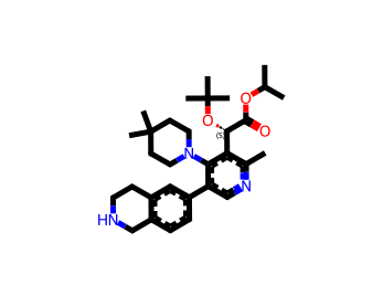 Cc1ncc(-c2ccc3c(c2)CCNC3)c(N2CCC(C)(C)CC2)c1[C@H](OC(C)(C)C)C(=O)OC(C)C